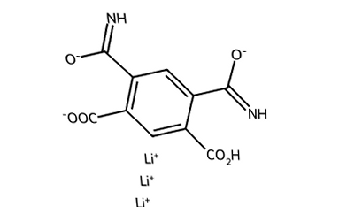 N=C([O-])c1cc(C(=N)[O-])c(C(=O)O)cc1C(=O)[O-].[Li+].[Li+].[Li+]